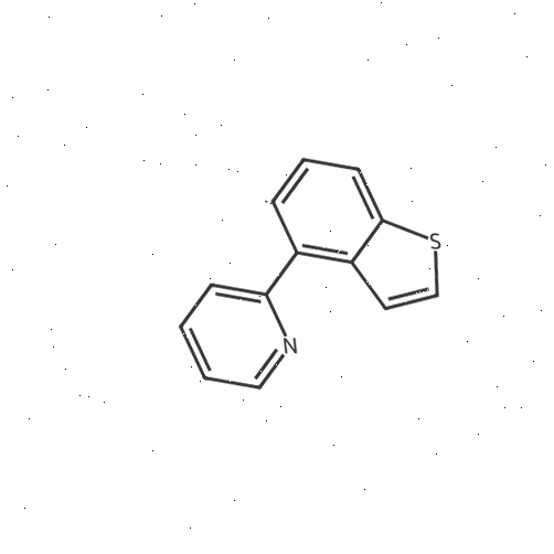 [c]1ccc2sccc2c1-c1ccccn1